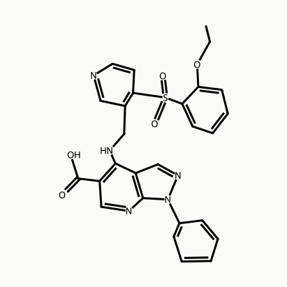 CCOc1ccccc1S(=O)(=O)c1ccncc1CNc1c(C(=O)O)cnc2c1cnn2-c1ccccc1